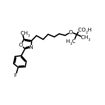 Cc1oc(-c2ccc(F)cc2)nc1CCCCCCOC(C)(C)C(=O)O